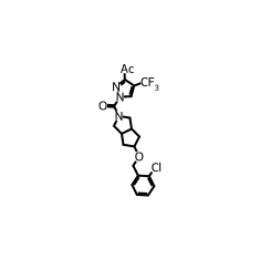 CC(=O)c1nn(C(=O)N2CC3CC(OCc4ccccc4Cl)CC3C2)cc1C(F)(F)F